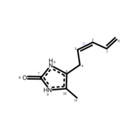 C=C/C=C\Cc1[nH]c(=O)[nH]c1C